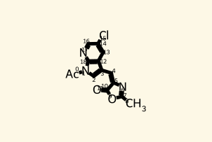 CC(=O)n1cc(C=C2N=C(C)OC2=O)c2cc(Cl)cnc21